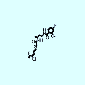 C=C(CCNC(=O)c1ccc(F)cc1OC)NC(=O)CO/C=C/C=C(/Cl)C(=C)F